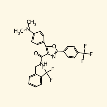 CN(C)c1ccc(-c2oc(-c3ccc(C(F)(F)F)cc3)nc2C(=O)NCc2ccccc2C(F)(F)F)cc1